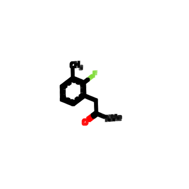 CNC(=O)Cc1cccc(C)c1F